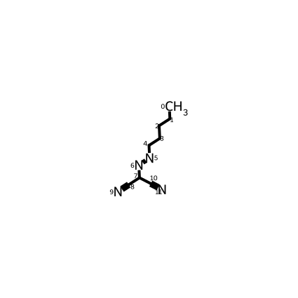 CCCCCN=NC(C#N)C#N